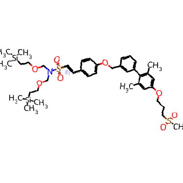 Cc1cc(OCCCS(C)(=O)=O)cc(C)c1-c1cccc(COc2ccc(/C=C/S(=O)(=O)N(COCC[Si](C)(C)C)COCC[Si](C)(C)C)cc2)c1